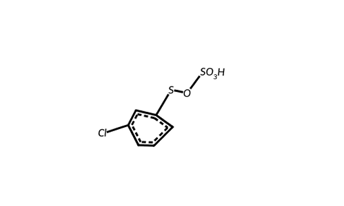 O=S(=O)(O)OSc1cccc(Cl)c1